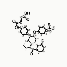 CCC(C(=O)c1cccc(F)c1)N1CC[C@@H](Oc2ccc(C(F)(F)F)cc2)[C@H](c2ccccc2)C1.O=C(O)C=CC(=O)O